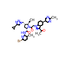 C#C[C@@H]1[C@@H](Cn2cc(C3CC3)nn2)C[C@@H](C(=O)Nc2nc(Br)ccc2C)N1C(=O)Cn1nc(C(C)=O)c2cc(-c3cnc(C)nc3)ccc21